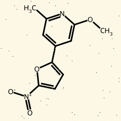 COc1cc(-c2ccc([N+](=O)[O-])o2)cc(C)n1